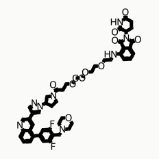 O=C1CCC(N2C(=O)c3cccc(NCCOCCOOOOCCC(=O)N4CCC(n5cc(-c6cnc7cccc(-c8cc(F)c(CN9CCOCC9)c(F)c8)c7c6)cn5)C4)c3C2=O)C(=O)N1